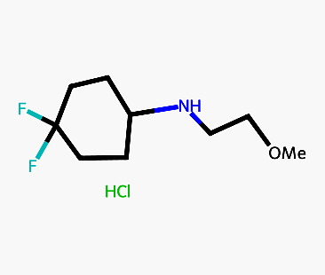 COCCNC1CCC(F)(F)CC1.Cl